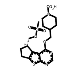 CS(=O)(=O)OC[C@H]1CCc2sc3ncnc(OCC4CCN(C(=O)O)CC4)c3c21